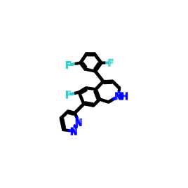 Fc1ccc(F)c(C2=CCNCc3cc(-c4cccnn4)c(F)cc32)c1